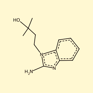 CC(C)(O)CCn1c(N)nc2ccccc21